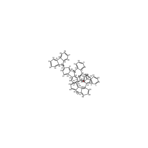 c1ccc(-c2nc(-c3ccccc3-n3c4ccccc4c4ccc(-n5c6ccccc6c6ccccc65)cc43)nc(-c3cccc4oc5cccc(-c6ccccc6)c5c34)n2)cc1